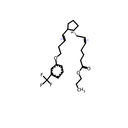 CCCOC(=O)CCC/C=C\C[C@H]1CCCC1/C=C/CCOc1cccc(C(F)(F)F)c1